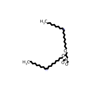 CCCCCCCC/C=C\CCCCCCCCOCC(CN(C=O)C=O)OCCCCCCCC/C=C\CCCCCCCC